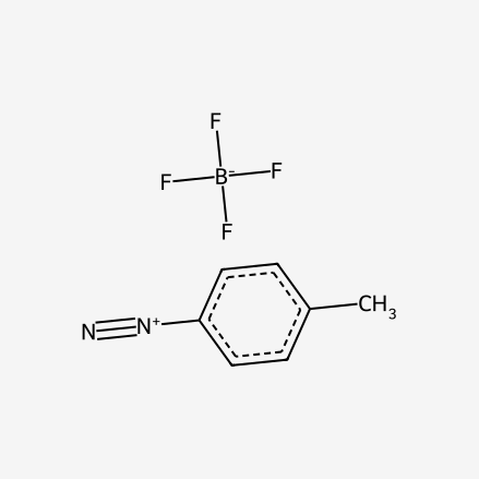 Cc1ccc([N+]#N)cc1.F[B-](F)(F)F